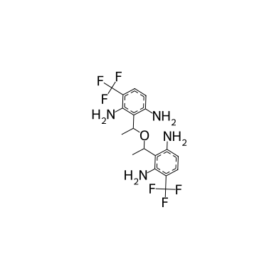 CC(OC(C)c1c(N)ccc(C(F)(F)F)c1N)c1c(N)ccc(C(F)(F)F)c1N